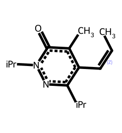 C/C=C\c1c(C(C)C)nn(C(C)C)c(=O)c1C